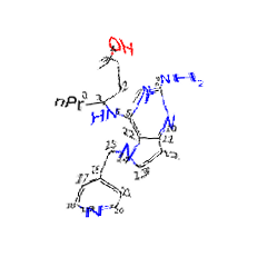 CCCC(CCO)Nc1nc(N)nc2ccn(Cc3ccncc3)c12